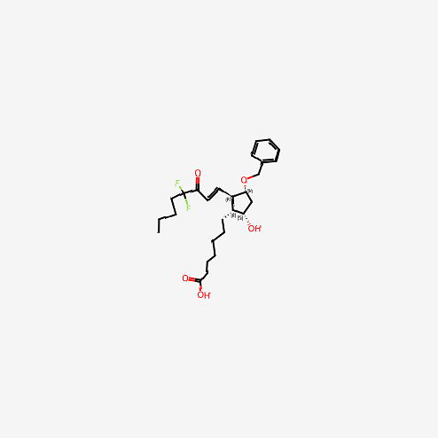 CCCCC(F)(F)C(=O)C=C[C@@H]1[C@@H](CCCCCCC(=O)O)[C@@H](O)C[C@H]1OCc1ccccc1